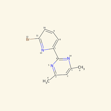 Cc1cc(C)nc(-c2cccc(Br)n2)n1